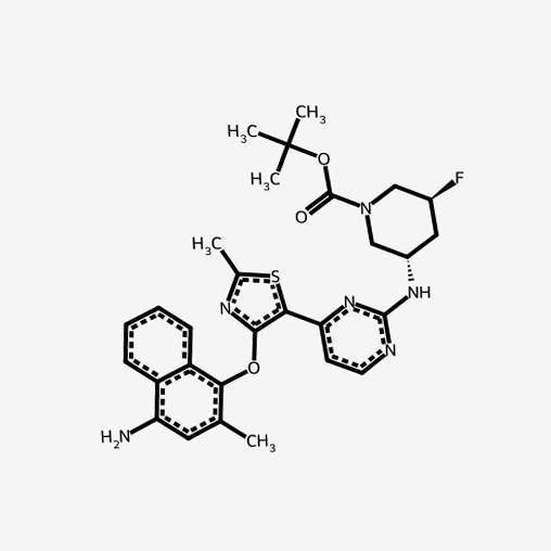 Cc1nc(Oc2c(C)cc(N)c3ccccc23)c(-c2ccnc(N[C@H]3C[C@H](F)CN(C(=O)OC(C)(C)C)C3)n2)s1